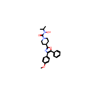 COc1ccc(-c2nc(C3CCN(C(=O)N(O)C(C)C)CC3)oc2-c2ccccc2)cc1